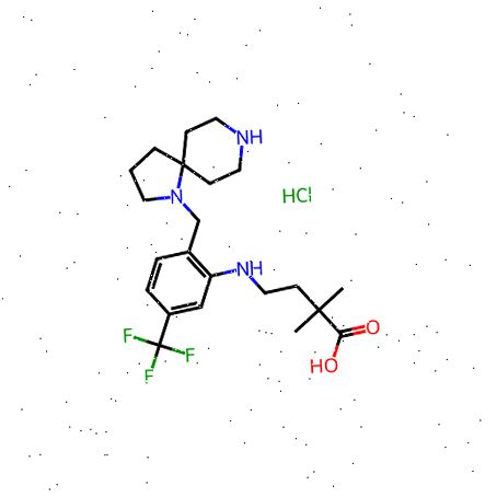 CC(C)(CCNc1cc(C(F)(F)F)ccc1CN1CCCC12CCNCC2)C(=O)O.Cl